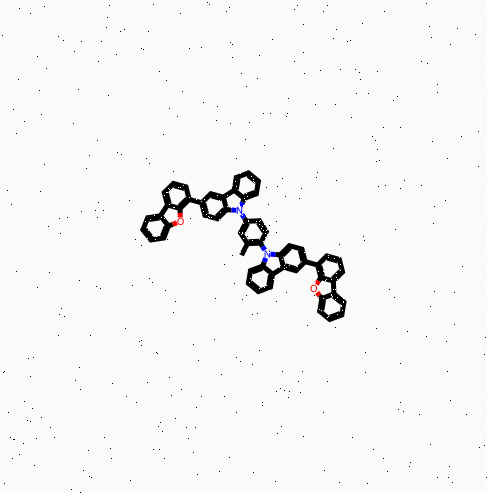 Cc1cc(-n2c3ccccc3c3cc(-c4cccc5c4oc4ccccc45)ccc32)ccc1-n1c2ccccc2c2cc(-c3cccc4c3oc3ccccc34)ccc21